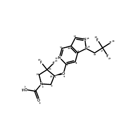 O=C(O)N1C[C@H](Oc2cc3c(cn2)cnn3CC(F)(F)F)C(F)(F)C1